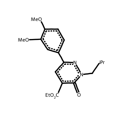 CCOC(=O)c1cc(-c2ccc(OC)c(OC)c2)nn(CC(C)C)c1=O